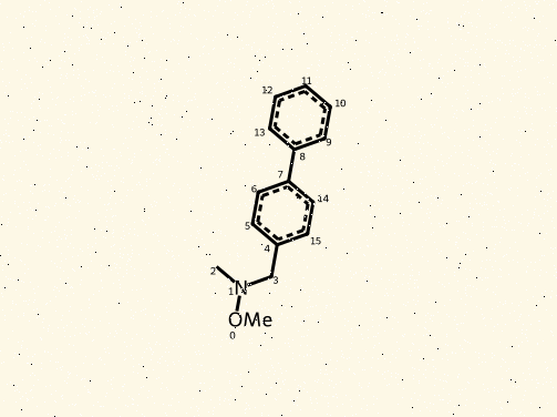 CON(C)Cc1ccc(-c2ccccc2)cc1